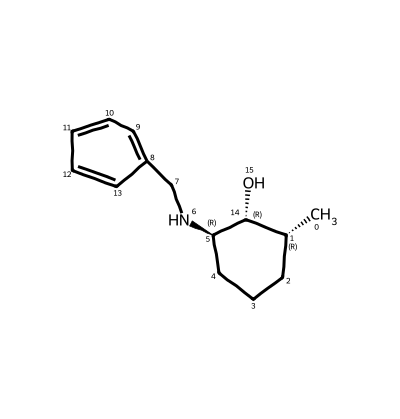 C[C@@H]1CCC[C@@H](NCc2ccccc2)[C@@H]1O